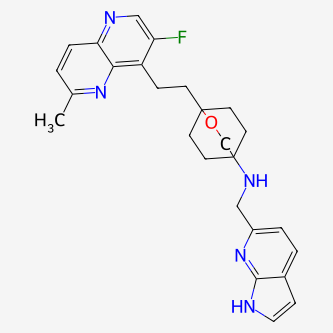 Cc1ccc2ncc(F)c(CCC34CCC(NCc5ccc6cc[nH]c6n5)(CC3)CO4)c2n1